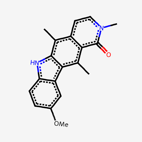 COc1ccc2[nH]c3c(C)c4ccn(C)c(=O)c4c(C)c3c2c1